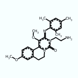 COc1ccc2c(c1)CCn1c-2c(OC)c(=Nc2c(C)cc(C)cc2C)n(CCN)c1=O